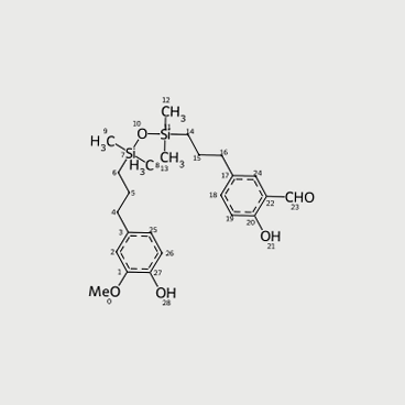 COc1cc(CCC[Si](C)(C)O[Si](C)(C)CCCc2ccc(O)c(C=O)c2)ccc1O